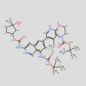 Cc1c(-c2cc3cc(NC(=O)OC4CCC(C)(O)C4)ncc3c(NC(=O)OC(C)(C)C)c2F)cnc2c1N(C(=O)OC(C)(C)C)CCO2